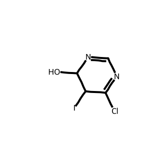 OC1N=CN=C(Cl)C1I